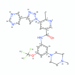 Cc1ncc(C(=O)Nc2cc(OC(F)(F)F)cc(N3CCN(C)CC3)c2)cc1-n1cc(-c2cncnc2)nn1